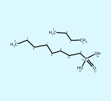 CCCC.CCCCCCCCP(=O)(O)O